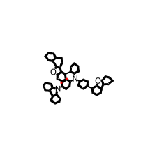 c1ccc(N(c2ccc(-c3cccc4c3oc3ccccc34)cc2)c2ccc(-n3c4ccccc4c4ccccc43)cc2)c(-c2cccc3oc4c5ccccc5ccc4c23)c1